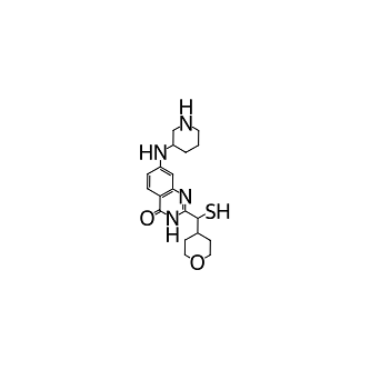 O=c1[nH]c(C(S)C2CCOCC2)nc2cc(NC3CCCNC3)ccc12